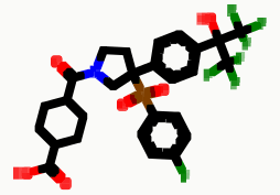 O=C(O)C1CCC(C(=O)N2CCC(c3ccc(C(O)(C(F)(F)F)C(F)(F)F)cc3)(S(=O)(=O)c3ccc(F)cc3)C2)CC1